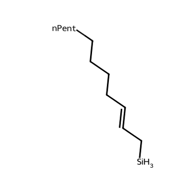 CCCCCCCCCC=CC[SiH3]